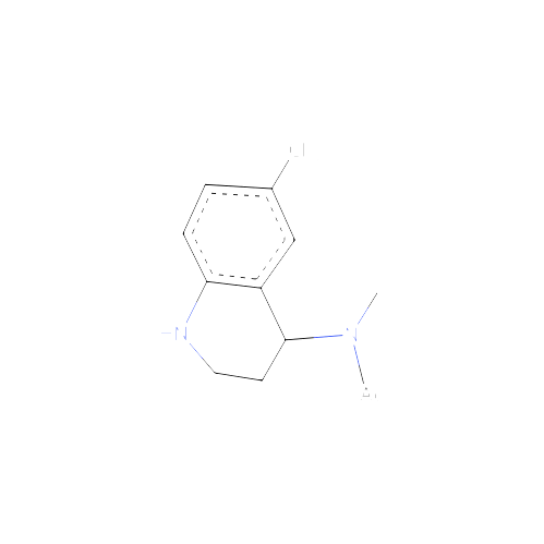 CC(=O)N(C)C1CCNc2ccc(C(F)(F)F)cc21